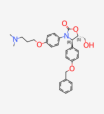 CN(C)CCCOc1ccc(N2C(=O)O[C@H](CO)[C@H]2c2ccc(OCc3ccccc3)cc2)cc1